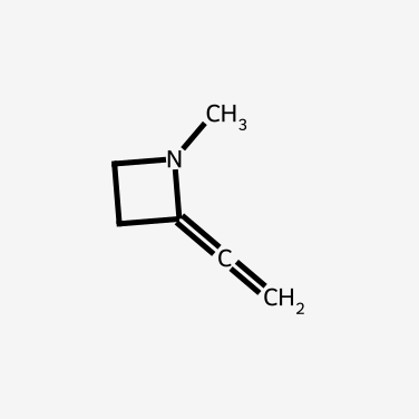 C=C=C1CCN1C